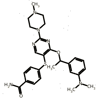 CC(Oc1nc(N2CCN(C)CC2)ncc1Sc1ccc(C(N)=O)cc1)c1cccc(N(C)C)c1